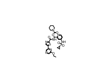 CCOc1cncc(-c2cnc(C(=O)NC(OC(=O)N3CCCCC3)c3cc(NS(=O)(=O)C4CC4)ccn3)s2)n1